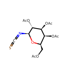 CC(=O)OC[C@H]1O[C@@H](N=C=S)[C@H](OC(C)=O)[C@@H](OC(C)=O)[C@H]1OC(C)=O